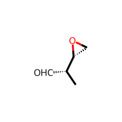 C[C@H](C=O)[C@H]1CO1